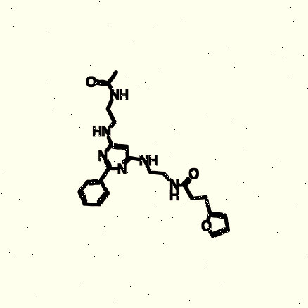 CC(=O)NCCNc1cc(NCCNC(=O)CCc2ccco2)nc(-c2ccccc2)n1